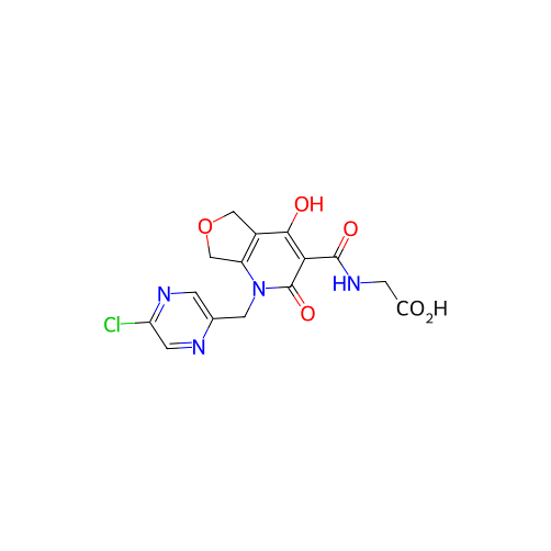 O=C(O)CNC(=O)c1c(O)c2c(n(Cc3cnc(Cl)cn3)c1=O)COC2